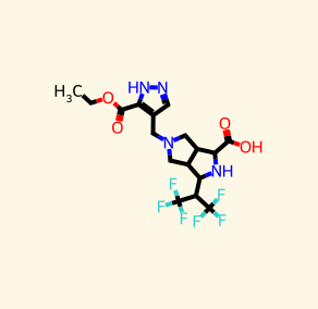 CCOC(=O)c1[nH]ncc1CN1CC2C(C(=O)O)NC(C(C(F)(F)F)C(F)(F)F)C2C1